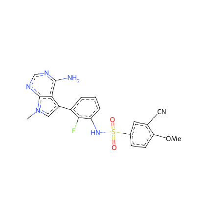 COc1ccc(S(=O)(=O)Nc2cccc(-c3cn(C)c4ncnc(N)c34)c2F)cc1C#N